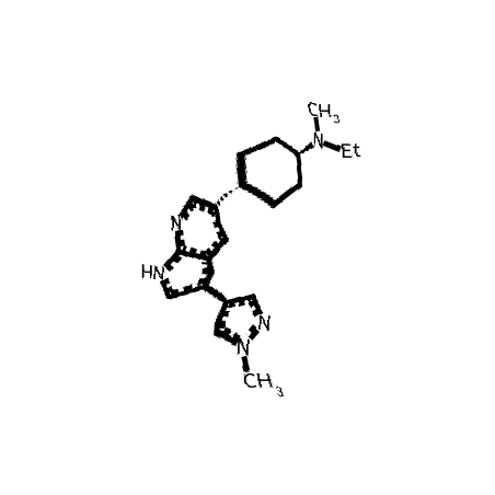 CCN(C)[C@H]1CC[C@H](c2cnc3[nH]cc(-c4cnn(C)c4)c3c2)CC1